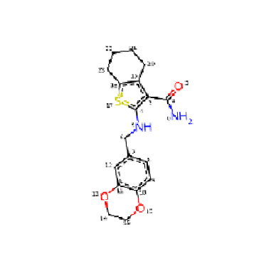 NC(=O)c1c(NCc2ccc3c(c2)OCCO3)sc2c1CCCC2